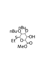 CCCCOC1[C@@H](O)C(C(=O)OC)O[C@@H](SCC)[C@H]1OCCCC